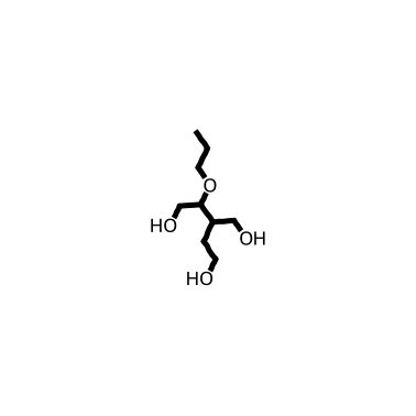 CCCOC(CO)C(CO)CCO